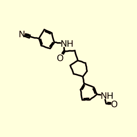 N#Cc1ccc(NC(=O)CC2CCC(c3cccc(NC=O)c3)CC2)cc1